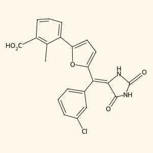 Cc1c(C(=O)O)cccc1-c1ccc(/C(=C2\NC(=O)NC2=O)c2cccc(Cl)c2)o1